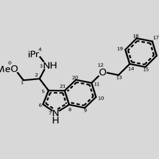 COCC(NC(C)C)c1c[nH]c2ccc(OCc3ccccc3)cc12